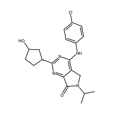 CC(C)N1Cc2c(Nc3ccc(Cl)cc3)nc(N3CCC(O)C3)nc2C1=O